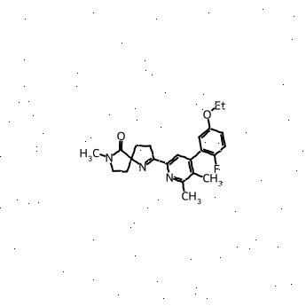 CCOc1ccc(F)c(-c2cc(C3=NC4(CC3)CCN(C)C4=O)nc(C)c2C)c1